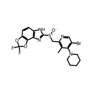 Cc1c(C[S+]([O-])c2nc3c4c(ccc3[nH]2)OC(F)(F)O4)ncc(Br)c1N1CCCCC1